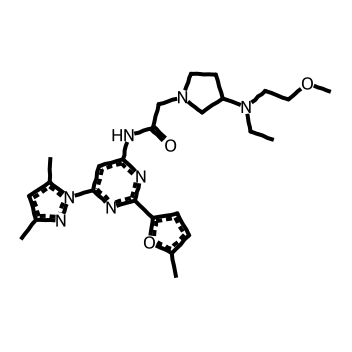 CCN(CCOC)C1CCN(CC(=O)Nc2cc(-n3nc(C)cc3C)nc(-c3ccc(C)o3)n2)C1